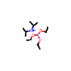 CC(C)NC(C)C.CCOP(OCC)OCC